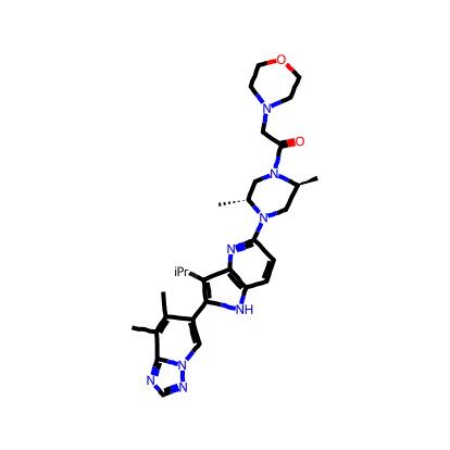 Cc1c(-c2[nH]c3ccc(N4C[C@H](C)N(C(=O)CN5CCOCC5)C[C@H]4C)nc3c2C(C)C)cn2ncnc2c1C